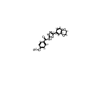 CC(C)Oc1ccc(C(=O)Nc2nnc(-c3ccc4c(c3)OCCO4)o2)cc1